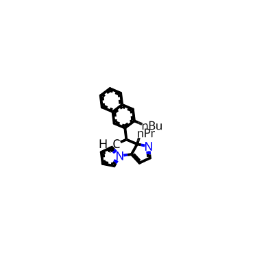 CCCCc1cc2ccccc2cc1C(C)C1(CCC)N=CC=C1n1cccc1